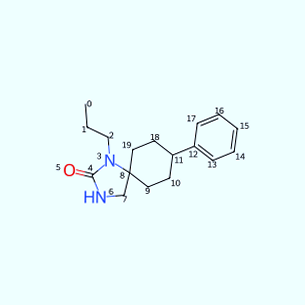 CCCN1C(=O)NCC12CCC(c1ccccc1)CC2